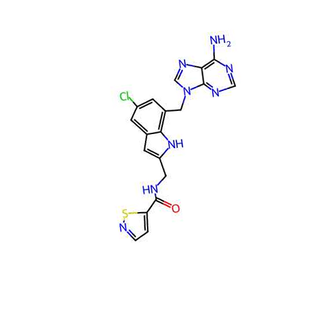 Nc1ncnc2c1ncn2Cc1cc(Cl)cc2cc(CNC(=O)c3ccns3)[nH]c12